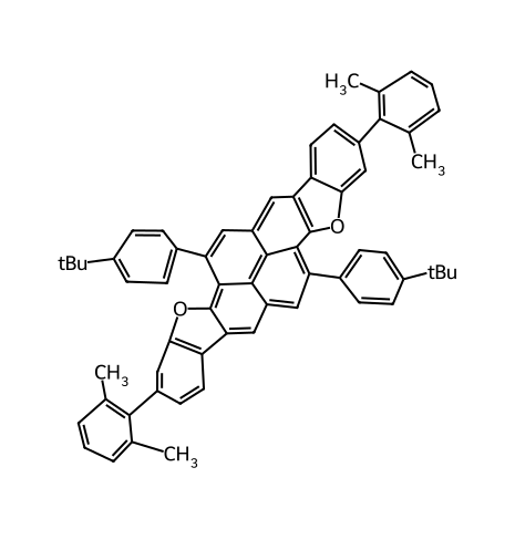 Cc1cccc(C)c1-c1ccc2c(c1)oc1c2cc2cc(-c3ccc(C(C)(C)C)cc3)c3c4oc5cc(-c6c(C)cccc6C)ccc5c4cc4cc(-c5ccc(C(C)(C)C)cc5)c1c2c43